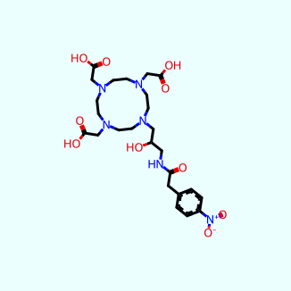 O=C(O)CN1CCN(CC(=O)O)CCN(CC(O)CNC(=O)Cc2ccc([N+](=O)[O-])cc2)CCN(CC(=O)O)CC1